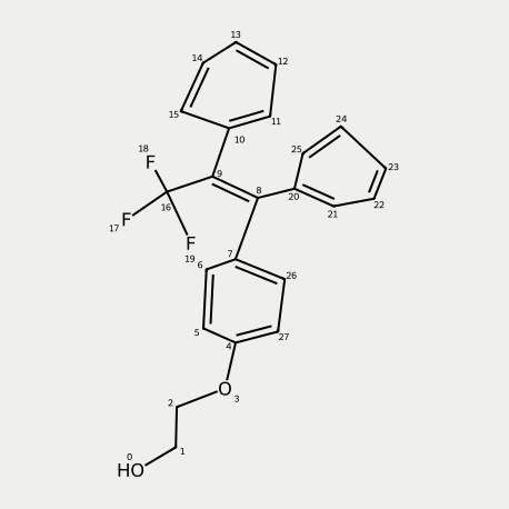 OCCOc1ccc(C(=C(c2ccccc2)C(F)(F)F)c2ccccc2)cc1